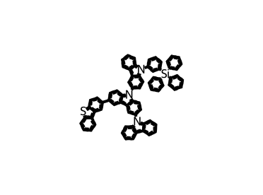 c1ccc([Si](c2ccccc2)(c2ccccc2)c2cccc(-n3c4ccccc4c4cc(-n5c6ccc(-c7ccc8sc9ccccc9c8c7)cc6c6cc(-n7c8ccccc8c8ccccc87)ccc65)ccc43)c2)cc1